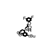 CC(C)(C)c1ccc2c(c1)C(NCC(O)COc1cc(F)cc(F)c1)CCS2(=O)=O